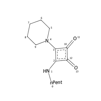 CCCCCNc1c(N2CCCCC2)c(=O)c1=O